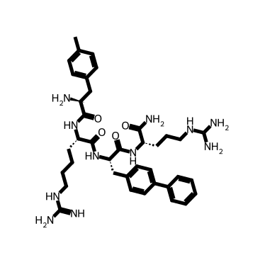 Cc1ccc(C[C@H](N)C(=O)N[C@@H](CCCCNC(=N)N)C(=O)N[C@@H](Cc2ccc(-c3ccccc3)cc2)C(=O)N[C@@H](CCCNC(N)N)C(N)=O)cc1